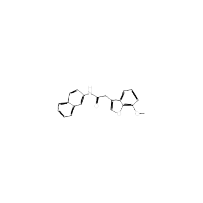 COc1cccc2c([CH]C(=O)Nc3ccc4ccccc4c3)coc12